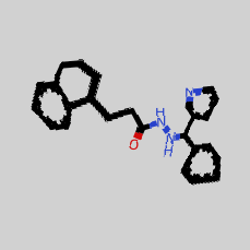 O=C(CCC1CCCc2ccccc21)NNC(c1ccccc1)c1cccnc1